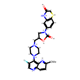 COc1ccc2ncc(F)c(N3CCN(CC4CN(c5ccc6c(c5)NC(=O)CS6)C(=O)O4)CC3)c2n1